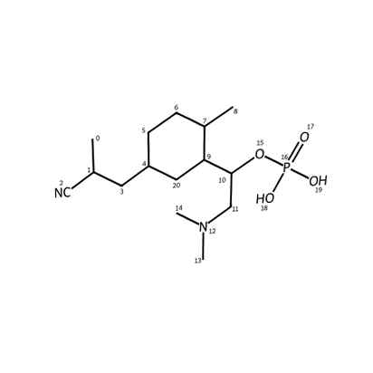 CC(C#N)CC1CCC(C)C(C(CN(C)C)OP(=O)(O)O)C1